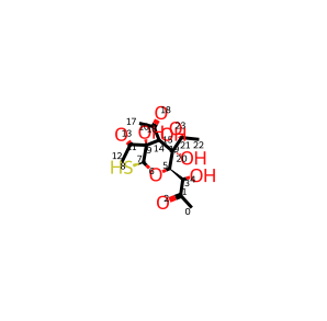 CC(=O)C(O)[C@H]1O[C@@H](S)[C@](O)(C(C)=O)[C@](O)(C(C)=O)[C@@]1(O)C(C)=O